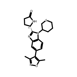 Cc1noc(C)c1-c1ccc2c(c1)nc([C@@H]1CCC(=O)N1)n2C1CCCSC1